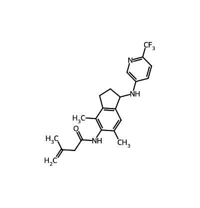 C=C(C)CC(=O)Nc1c(C)cc2c(c1C)CCC2Nc1ccc(C(F)(F)F)nc1